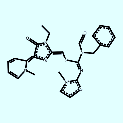 CCn1c(=O)/c(=C2\C=CC=CN2C)s/c1=C\S/C(=N\c1scc[n+]1C)N(C=O)Cc1ccccc1